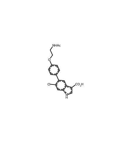 CC(=O)NCCOc1ccc(-c2cc3c(C(=O)O)c[nH]c3cc2Cl)cc1